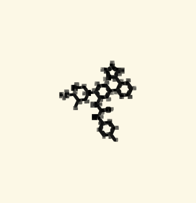 Cc1ccc(NC(=O)Nc2cc(-c3ccccc3-c3nnn[nH]3)ccc2N(CC(C)C)CC(C)CC(F)(F)F)cc1